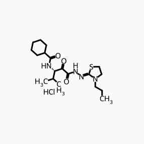 CCCN1CCSC1=NNC(=O)C(=O)[C@@H](NC(=O)C1CCCCC1)C(C)C.Cl